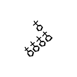 CC(C)(C)c1ccccc1.CC(C)(C)c1ccccc1.CC(C)(C)c1ccccc1.CC(C)(C)c1ccccc1.CC(C)(C)c1ccccc1